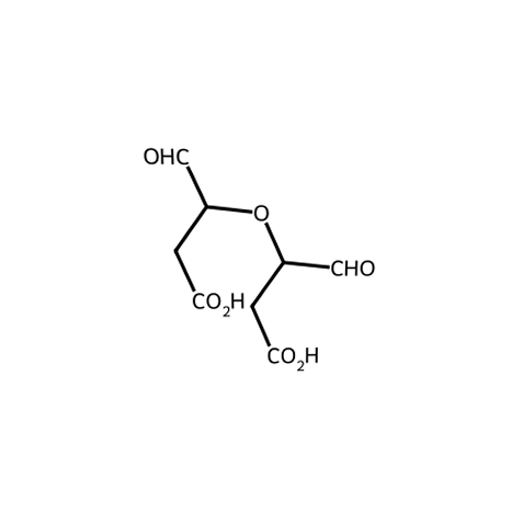 O=CC(CC(=O)O)OC(C=O)CC(=O)O